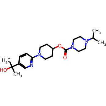 CC(C)N1CCN(C(=O)OC2CCN(c3ccc(C(C)(C)O)cn3)CC2)CC1